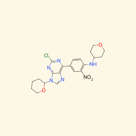 O=[N+]([O-])c1cc(-c2nc(Cl)nc3c2ncn3C2CCCCO2)ccc1NC1CCOCC1